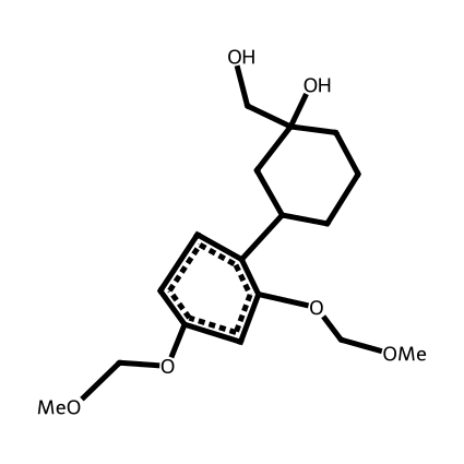 COCOc1ccc(C2CCCC(O)(CO)C2)c(OCOC)c1